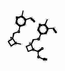 C=Cc1cc(OC[C@@H]2CCN2C(=O)OC(C)(C)C)cnc1C.C=Cc1cc(OC[C@@H]2CCN2C)cnc1C